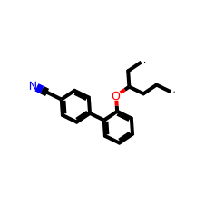 [CH2]CCC(C[CH2])Oc1ccccc1-c1ccc(C#N)cc1